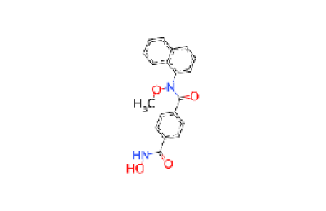 CON(C(=O)c1ccc(C(=O)NO)cc1)c1cccc2ccccc12